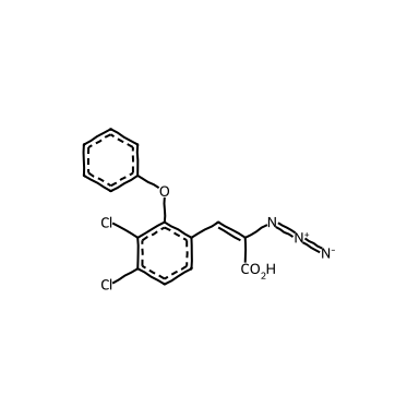 [N-]=[N+]=N/C(=C/c1ccc(Cl)c(Cl)c1Oc1ccccc1)C(=O)O